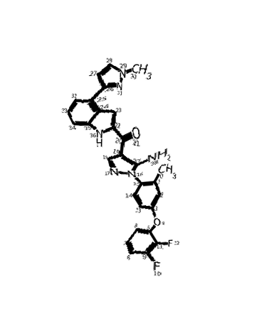 Cc1cc(Oc2cccc(F)c2F)ccc1-n1ncc(C(=O)c2cc3c(-c4ccn(C)n4)cccc3[nH]2)c1N